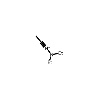 CC#[N+]N(CC)CC